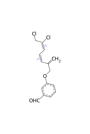 C=C(/C=C\C=C(\Cl)CCl)COc1cccc(C=O)c1